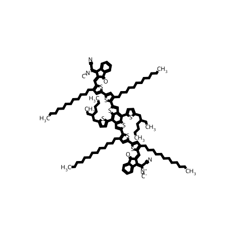 [C-]#[N+]/C(C#N)=C1\C(=Cc2sc(-c3cc(CCCCCCCCCCCC)c(-c4cc5c(-c6ccc(CC(CC)CCCC)s6)c6sc(-c7sc(-c8cc(CCCCCCCCCCCC)c(C=C9C(=O)c%10ccccc%10/C9=C(/C#N)[N+]#[C-])s8)cc7CCCCCCCCCCCCC)cc6c(-c6ccc(CC(CC)CCCC)s6)c5s4)s3)cc2CCCCCCCCCCCC)C(=O)c2ccccc21